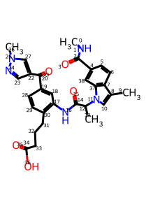 CNC(=O)c1ccc2c(C)cn(C(C)C(=O)Nc3cc(C(=O)c4cnn(C)c4)ccc3CCCC(=O)O)c2c1